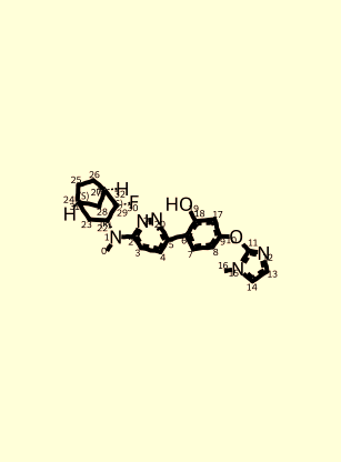 CN(c1ccc(-c2ccc(Oc3nccn3C)cc2O)nn1)[C@@H]1C[C@H]2CC[C@H](C2)[C@@H]1F